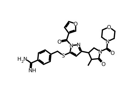 CC1C(=O)N(C(=O)N2CCOCC2)CC1c1cc(SCc2ccc(C(=N)N)cc2)n(C(=O)c2ccoc2)n1